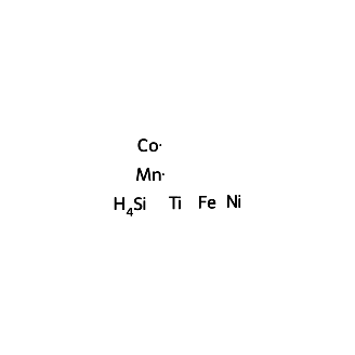 [Co].[Fe].[Mn].[Ni].[SiH4].[Ti]